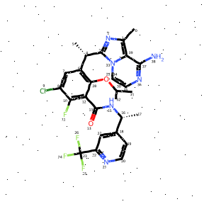 Cc1nc([C@@H](C)c2cc(Cl)c(F)c(C(=O)N[C@H](C)c3ccnc(C(F)(F)F)c3)c2OC(C)C)n2ccnc(N)c12